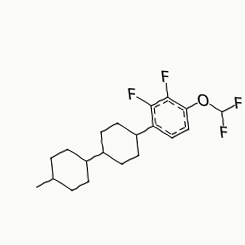 CC1CCC(C2CCC(c3ccc(OC(F)F)c(F)c3F)CC2)CC1